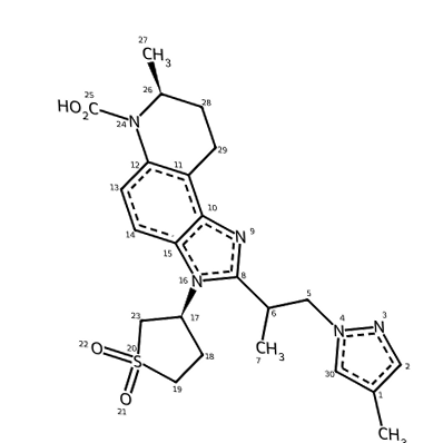 Cc1cnn(CC(C)c2nc3c4c(ccc3n2[C@H]2CCS(=O)(=O)C2)N(C(=O)O)[C@@H](C)CC4)c1